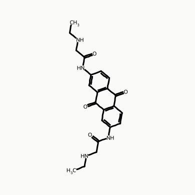 CCNCC(=O)Nc1ccc2c(c1)C(=O)c1cc(NC(=O)CNCC)ccc1C2=O